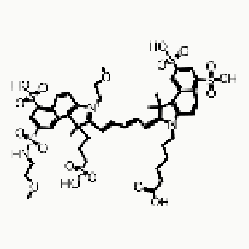 COCCNS(=O)(=O)c1cc(S(=O)(=O)O)c2ccc3c(c2c1)C(C)(CCCS(=O)(=O)O)C(/C=C/C=C/C=C1/N(CCCCCC(=O)O)c2ccc4c(S(=O)(=O)O)cc(S(=O)(=O)O)cc4c2C1(C)C)=[N+]3CCOC